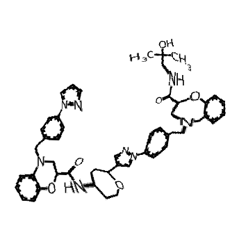 CC(C)(O)CNC(=O)C1CN(Cc2ccc(-n3cc(C4CC(NC(=O)C5CN(Cc6ccc(-n7cccn7)cc6)c6ccccc6O5)CCO4)cn3)cc2)c2ccccc2O1